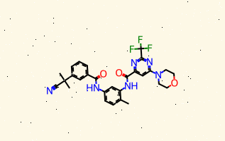 Cc1ccc(NC(=O)c2cccc(C(C)(C)C#N)c2)cc1NC(=O)c1cc(N2CCOCC2)nc(C(F)(F)F)n1